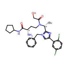 CC(C)(C)[C@H](c1nc(-c2cc(F)ccc2F)cn1Cc1ccccc1)N(CC[C@H](N)C(=O)NC1CCCC1)C(=O)CO